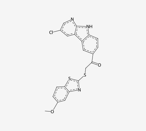 COc1ccc2sc(SCC(=O)c3ccc4[nH]c5ncc(Cl)cc5c4c3)nc2c1